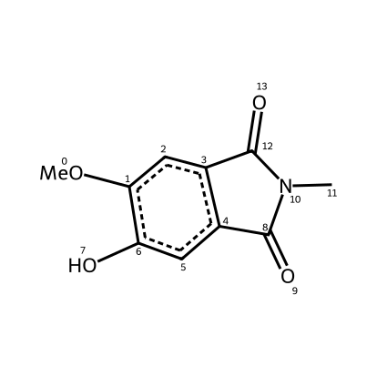 COc1cc2c(cc1O)C(=O)N(C)C2=O